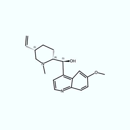 C=C[C@@H]1CC[C@H]([C@@H](O)c2ccnc3ccc(OC)cc23)N(C)C1